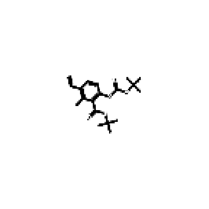 C=Cc1ccc(OC(=O)OC(C)(C)C)c(C(=O)OC(C)(C)C)c1C